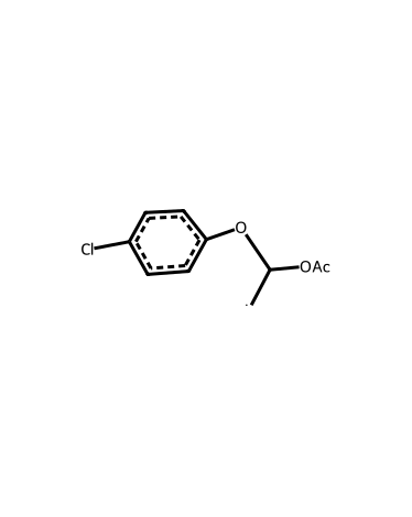 [CH2]C(OC(C)=O)Oc1ccc(Cl)cc1